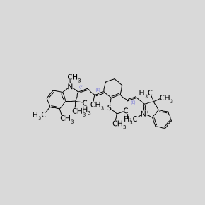 CC(/C=C1/N(C)c2ccc(C)c(C)c2C1(C)C)=C1/CCCC(/C=C/C2=[N+](C)c3ccccc3C2(C)C)=C1SC(C)C